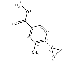 COC(=O)c1ccc([C@@H]2CO2)c(C)c1